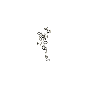 Cc1c(COc2cc(OCc3cncc(C#N)c3)c(CN3CCCC[C@H]3C(=O)O)cc2Cl)cccc1-c1cccc(OCCCN2CC[C@@H](O)C2)n1